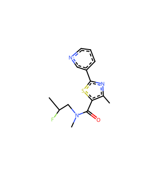 Cc1nc(-c2cccnc2)sc1C(=O)N(C)CC(C)F